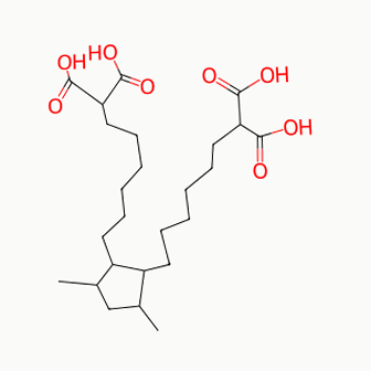 CC1CC(C)C(CCCCCCC(C(=O)O)C(=O)O)C1CCCCCCC(C(=O)O)C(=O)O